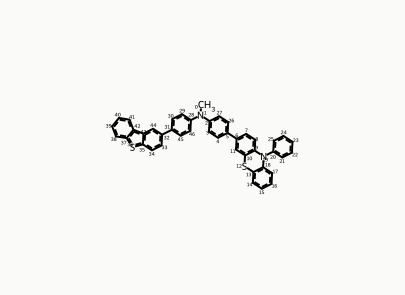 CN(c1ccc(-c2ccc3c(c2)Sc2ccccc2N3c2ccccc2)cc1)c1ccc(-c2ccc3sc4ccccc4c3c2)cc1